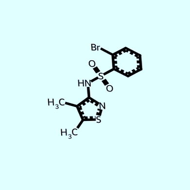 Cc1snc(NS(=O)(=O)c2ccccc2Br)c1C